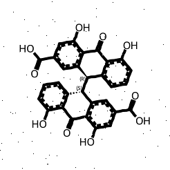 O=C(O)c1cc(O)c2c(c1)[C@H]([C@H]1c3cccc(O)c3C(=O)c3c(O)cc(C(=O)O)cc31)c1cccc(O)c1C2=O